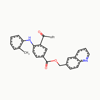 CCCC(=O)c1cc(C(=O)OCc2ccc3ncccc3c2)ccc1Nc1ccccc1C